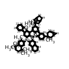 Cc1cc2c(cc1N1c3cc4ccccc4cc3B3c4c1cc1c(oc5ccccc51)c4-c1cc(C4(C)CC5CCC(C4)C5C)cc4c5cc(C6(C)CC=C7CC7C6)ccc5n3c14)C(C)(C)CCC2(C)C